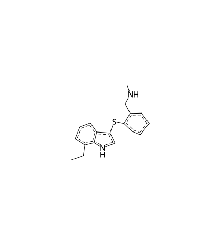 CCc1cccc2c(Sc3ccccc3CNC)c[nH]c12